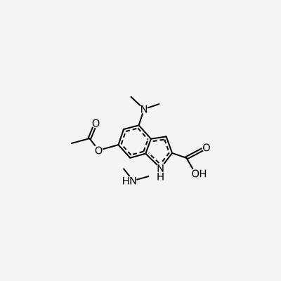 CC(=O)Oc1cc(N(C)C)c2cc(C(=O)O)[nH]c2c1.CNC